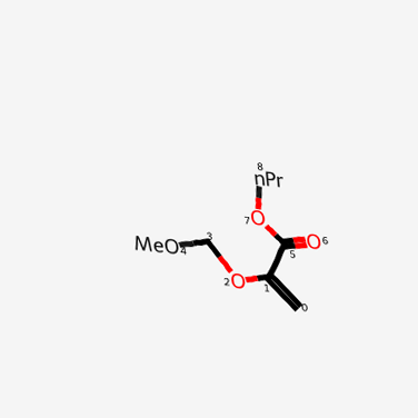 C=C(OCOC)C(=O)OCCC